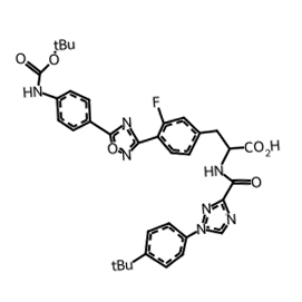 CC(C)(C)OC(=O)Nc1ccc(-c2nc(-c3ccc(CC(NC(=O)c4ncn(-c5ccc(C(C)(C)C)cc5)n4)C(=O)O)cc3F)no2)cc1